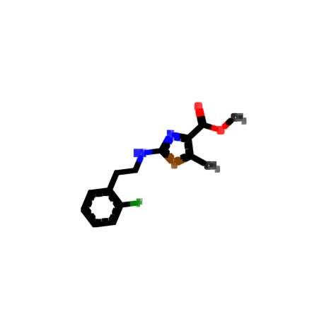 COC(=O)c1nc(NCCc2ccccc2F)sc1C